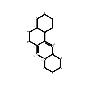 C1CCC2C3=NC4CCCCN4N=C3CCC2C1